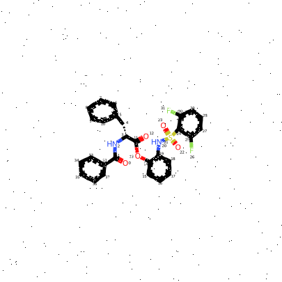 O=C(N[C@H](Cc1ccccc1)C(=O)Oc1ccccc1NS(=O)(=O)c1c(F)cccc1F)c1ccccc1